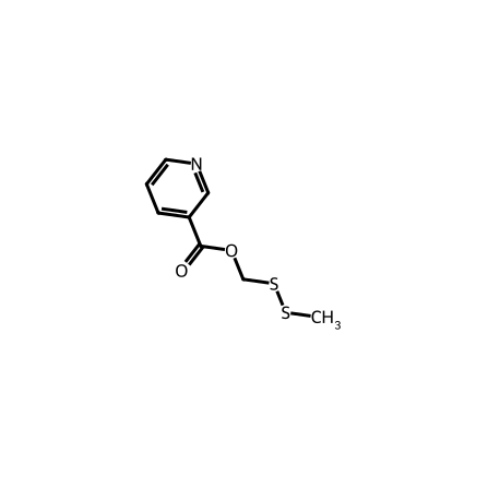 CSSCOC(=O)c1cccnc1